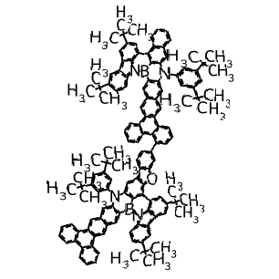 CC(C)(C)c1cc(N2c3cc4cc5c(cc4cc3B3c4c2cc2ccccc2c4-c2cc(C(C)(C)C)cc4c6cc(C(C)(C)C)ccc6n3c24)c2ccccc2c2c(-c3ccc4c(c3)oc3c6c7c(cc34)N(c3cc(C(C)(C)C)cc(C(C)(C)C)c3)c3cc4cc8c9ccccc9c9ccccc9c8cc4cc3B7n3c4ccc(C(C)(C)C)cc4c4cc(C(C)(C)C)cc-6c43)cccc52)cc(C(C)(C)C)c1